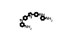 CN(c1ccc(-c2ccc(-c3ccc(Nc4cccc(N)c4)cc3)n2C)cc1)c1cccc(N)c1